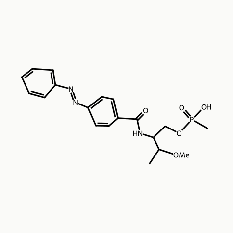 COC(C)C(COP(C)(=O)O)NC(=O)c1ccc(/N=N/c2ccccc2)cc1